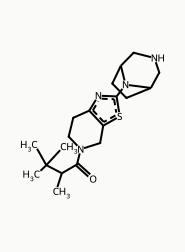 CC(C(=O)N1CCc2nc(N3C4CCC3CNC4)sc2C1)C(C)(C)C